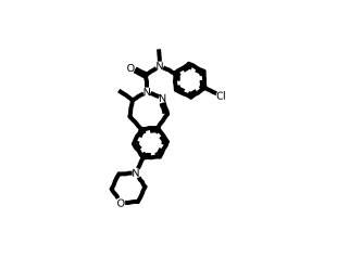 CC1Cc2cc(N3CCOCC3)ccc2C=NN1C(=O)N(C)c1ccc(Cl)cc1